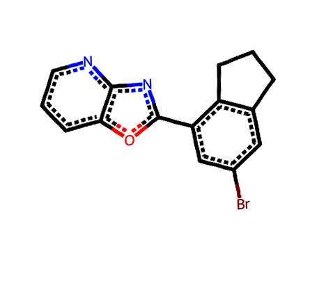 Brc1cc2c(c(-c3nc4ncccc4o3)c1)CCC2